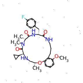 COc1cccc2c1CCCNC(=O)[C@@H](Cc1ccc(F)cc1)NC(=O)[C@@H](C)N(C)C(=O)[C@H](C1CC1)NC[C@@H](C)O2